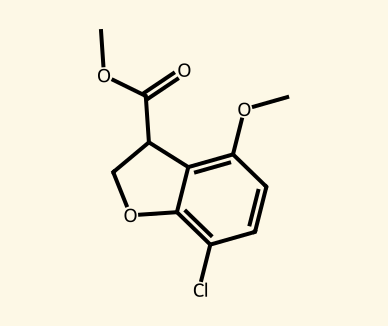 COC(=O)C1COc2c(Cl)ccc(OC)c21